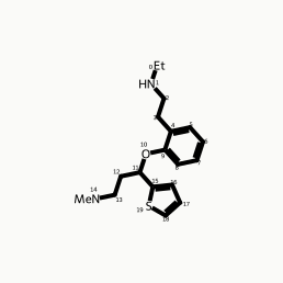 CCNCCc1ccccc1OC(CCNC)c1cccs1